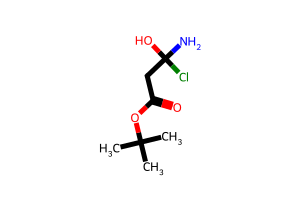 CC(C)(C)OC(=O)CC(N)(O)Cl